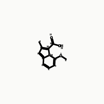 COc1cccc2cc(C)c(C(=O)O)n12